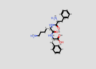 NCCCC[C@H](NC(=O)[C@H](N)Cc1ccccc1)C(=O)N[C@@H](Cc1ccccc1)C(=O)O